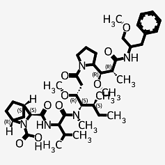 CC[C@H](C)[C@@H]([C@@H](CC(=O)N1CCCC1[C@H](OC)[C@@H](C)C(=O)NC(COC)Cc1ccccc1)OC)N(C)C(=O)C(NC(=O)[C@@H]1[C@H]2CC[C@H](C2)N1C(=O)O)C(C)C